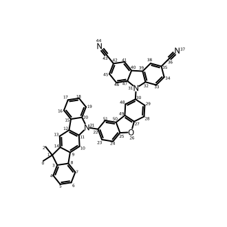 CC1(C)c2ccccc2-c2cc3c(cc21)c1ccccc1n3-c1ccc2oc3ccc(-n4c5ccc(C#N)cc5c5cc(C#N)ccc54)cc3c2c1